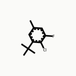 Cc1cc(F)c(Cl)c(C(C)(C)C)c1